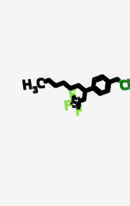 CCCCCCC(C[Si](F)(F)F)c1ccc(CCl)cc1